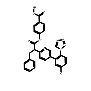 CC(C)(C)OC(=O)c1ccc(NC(=O)C(Cc2ccccc2)c2ccc(-c3cc(Cl)ccc3-n3cnnn3)cn2)cc1